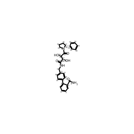 NC(=O)c1ccccc1-c1ccc(CNC(=O)[C@H](O)[C@@H](O)C(=O)N2CCC[C@@H]2c2ccccc2)cc1